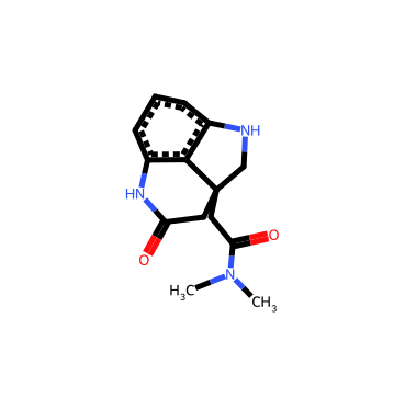 CN(C)C(=O)CC12CNc3cccc(c31)NC(=O)C2